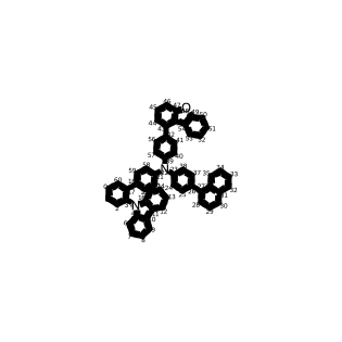 c1ccc(-n2c3ccccc3c3ccccc32)c(-c2ccc(N(c3ccc(-c4cccc5ccccc45)cc3)c3ccc(-c4cccc5oc6ccccc6c45)cc3)cc2)c1